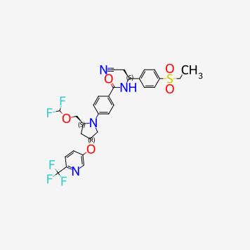 CCS(=O)(=O)c1ccc([C@H](CC#N)NC(=O)c2ccc(N3C[C@H](Oc4ccc(C(F)(F)F)nc4)C[C@H]3COC(F)F)cc2)cc1